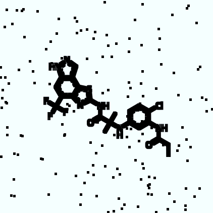 CCC(=O)Nc1cc(NC(C)(C)C(=O)Nc2nc3c(C(F)(F)F)cc4[nH]ncc4c3s2)ccc1Cl